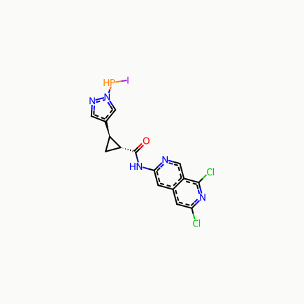 O=C(Nc1cc2cc(Cl)nc(Cl)c2cn1)[C@@H]1C[C@H]1c1cnn(PI)c1